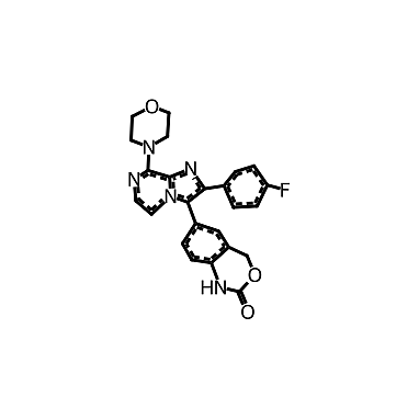 O=C1Nc2ccc(-c3c(-c4ccc(F)cc4)nc4c(N5CCOCC5)nccn34)cc2CO1